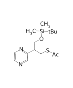 CC(=O)SCC(CO[Si](C)(C)C(C)(C)C)c1cnccn1